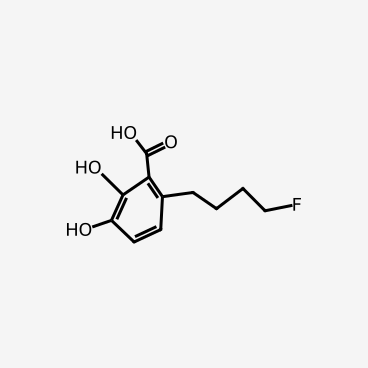 O=C(O)c1c(CCCCF)ccc(O)c1O